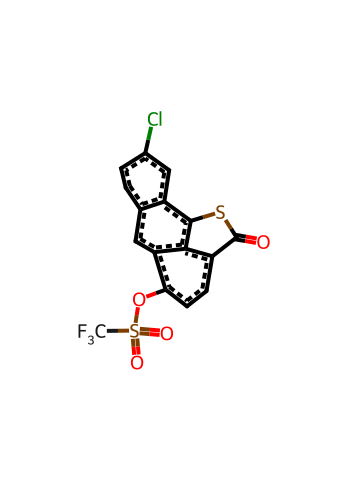 O=C1Sc2c3cc(Cl)ccc3cc3c(OS(=O)(=O)C(F)(F)F)ccc1c23